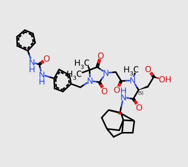 CN(C(=O)CN1C(=O)N(Cc2ccc(NC(=O)Nc3ccccc3)cc2)C(C)(C)C1=O)[C@@H](CC(=O)O)C(=O)NC1C2CC3CC4CC1C4(C3)C2